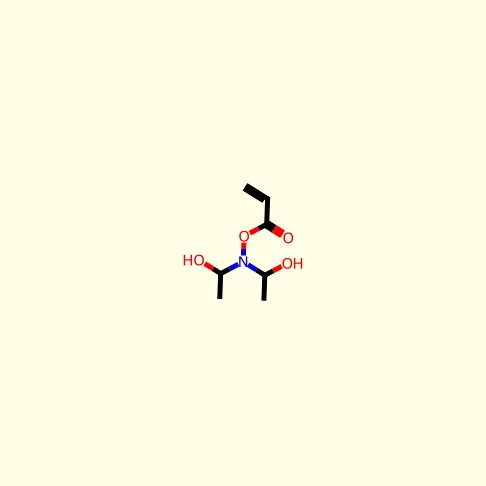 C=CC(=O)ON(C(C)O)C(C)O